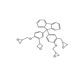 c1ccc2c(c1)-c1ccccc1C2(c1ccc(OCC2CO2)c(CC2CO2)c1)c1ccc(OCC2CO2)c(C2COC2)c1